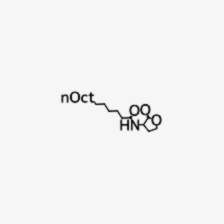 CCCCCCCCCCCCCC(=O)NC1CCOC1=O